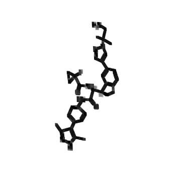 Cc1n[nH]c(C)c1-c1ccc(NC(=O)[C@@H](NC(=O)C2(F)CC2)[C@@H]2CCc3ccc(-c4cnn(C(C)(C)CN)c4)cc32)cc1